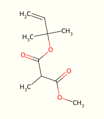 C=CC(C)(C)OC(=O)C(C)C(=O)OC